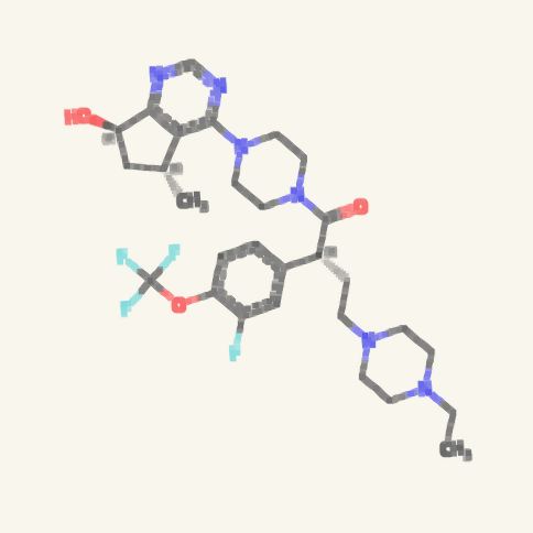 CCN1CCN(CC[C@@H](C(=O)N2CCN(c3ncnc4c3[C@H](C)C[C@H]4O)CC2)c2ccc(OC(F)(F)F)c(F)c2)CC1